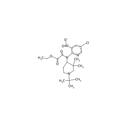 CCOC(=O)C(=O)N(c1ncc(Cl)cc1[N+](=O)[O-])C1CCN(C(C)(C)C)CC1(C)C